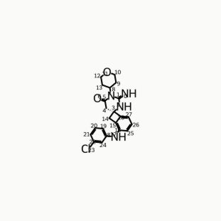 N=C1N[C@]2(CC(=O)N1C1CCOCC1)Cc1c(Nc3cccc(Cl)c3)cccc12